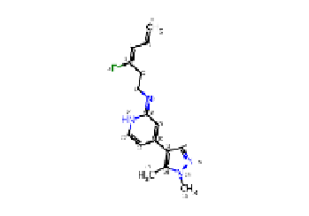 C=C/C=C(/F)CC/N=c1/cc(-c2cnn(C)c2C)cc[nH]1